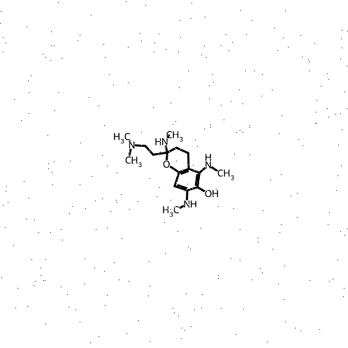 CNc1cc2c(c(NC)c1O)CCC(CCN(C)C)(NC)O2